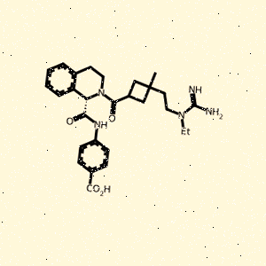 CCN(CCC1(C)CC(C(=O)N2CCc3ccccc3[C@H]2C(=O)Nc2ccc(C(=O)O)cc2)C1)C(=N)N